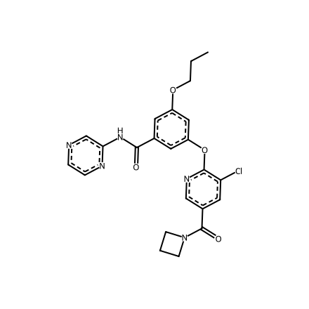 CCCOc1cc(Oc2ncc(C(=O)N3CCC3)cc2Cl)cc(C(=O)Nc2cnccn2)c1